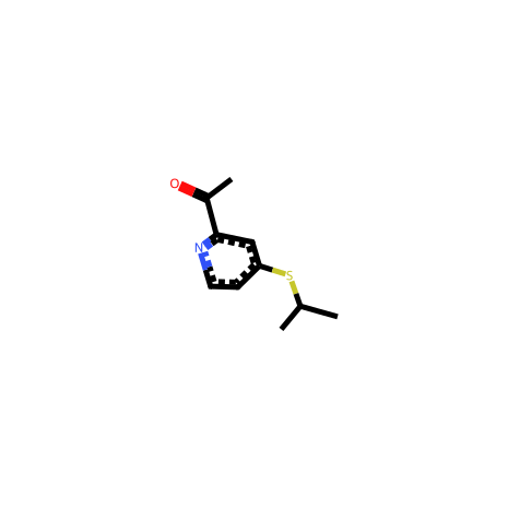 CC(=O)c1cc(SC(C)C)ccn1